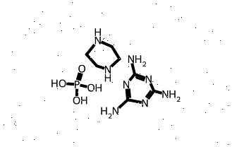 C1CNCCN1.Nc1nc(N)nc(N)n1.O=P(O)(O)O